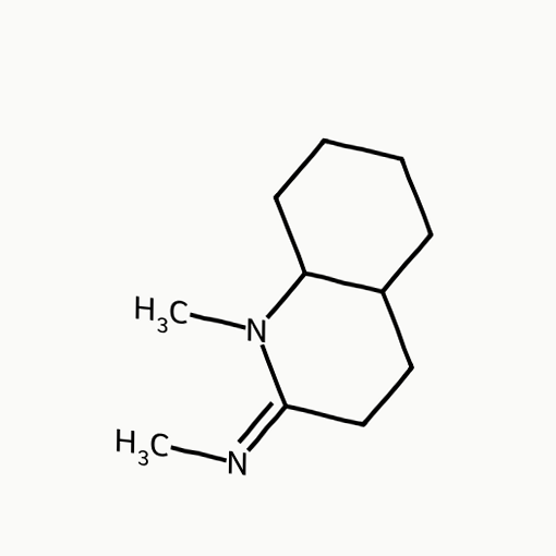 C/N=C1/CCC2CCCCC2N1C